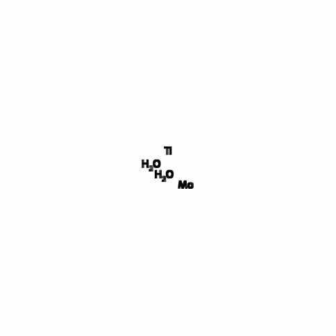 O.O.[Mo].[Ti]